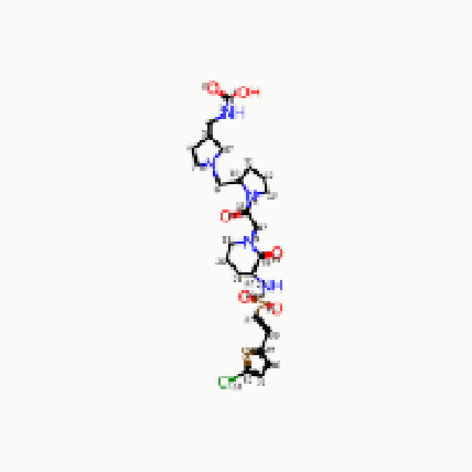 O=C(O)NCC1CCN(CC2CCCN2C(=O)CN2CCC[C@H](NS(=O)(=O)/C=C/c3ccc(Cl)s3)C2=O)C1